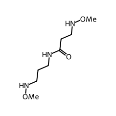 CONCCCNC(=O)CCNOC